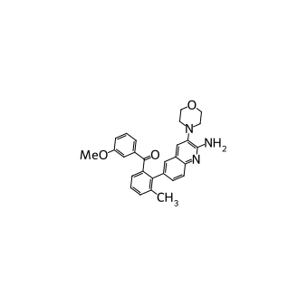 COc1cccc(C(=O)c2cccc(C)c2-c2ccc3nc(N)c(N4CCOCC4)cc3c2)c1